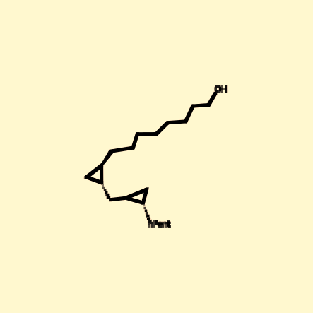 CCCCC[C@H]1CC1C[C@@H]1C[C@H]1CCCCCCCCO